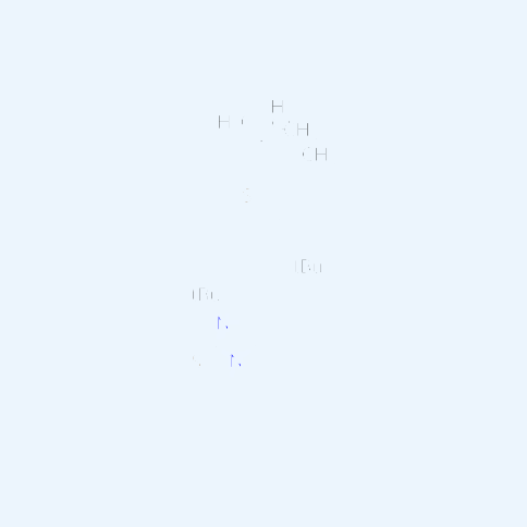 CC(C)(C)c1ccc(-c2cccc3c2Sc2ccccc2C(C)(C)C3(C)C)c(C(C)(C)C)c1-c1cccc2c1nc1sc3ccccc3n12